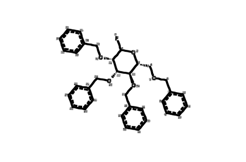 FC1O[C@H](COCc2ccccc2)[C@@H](OCc2ccccc2)[C@H](OCc2ccccc2)[C@@H]1OCc1ccccc1